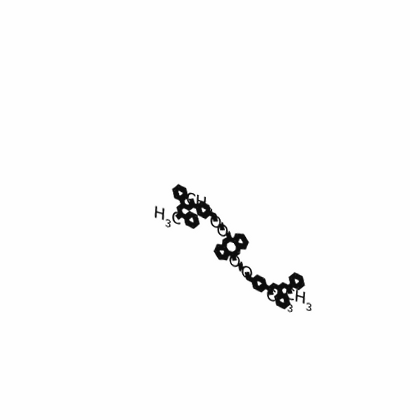 CC(CC(CC(C)c1ccc(COCCOC2Cc3ccccc3C(COCOCc3ccc(C(C)CC(CC(C)c4ccccc4)c4ccccc4)cc3)Cc3ccccc32)cc1)c1ccccc1)c1ccccc1